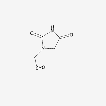 O=[C]CN1CC(=O)NC1=O